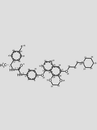 C[C@@H](NC(=O)Nc1ccc(Oc2ncnc3cc(OCCCN4CCCCC4)c4c(c23)OCCO4)cc1)c1ccc(F)cc1